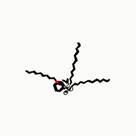 CCCCCCCCCCC[CH2][Zr]([CH2]CCCCCCCCCCC)([CH2]CCCCCCCCCCC)([CH](C)C)[S](=O)(=O)c1ccccc1